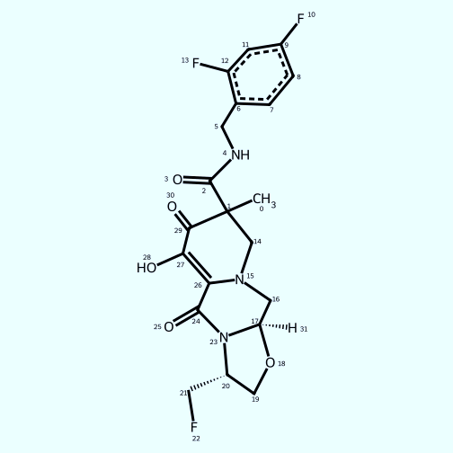 CC1(C(=O)NCc2ccc(F)cc2F)CN2C[C@H]3OC[C@H](CF)N3C(=O)C2=C(O)C1=O